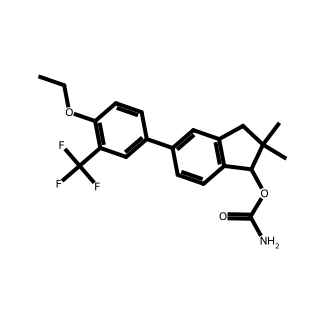 CCOc1ccc(-c2ccc3c(c2)CC(C)(C)C3OC(N)=O)cc1C(F)(F)F